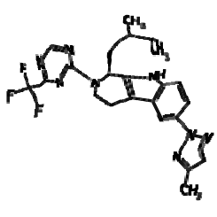 Cc1cnn(-c2ccc3[nH]c4c(c3c2)CCN(c2ncnc(C(F)(F)F)n2)[C@H]4CC(C)C)n1